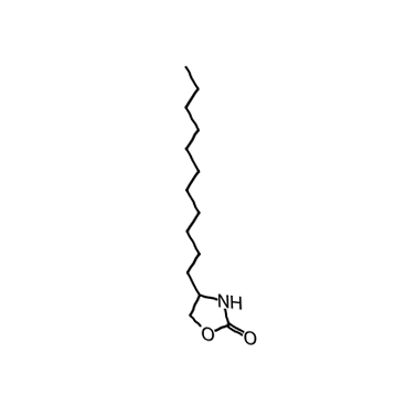 CCCCCCCCCCCC1COC(=O)N1